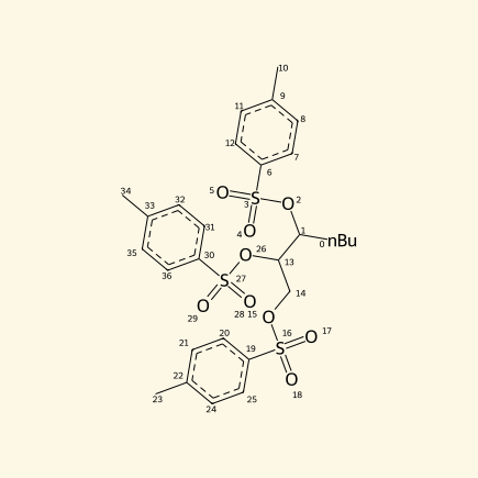 CCCCC(OS(=O)(=O)c1ccc(C)cc1)C(COS(=O)(=O)c1ccc(C)cc1)OS(=O)(=O)c1ccc(C)cc1